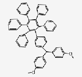 COc1ccc(C(c2ccc(OC)cc2)c2ccc(-c3c(-c4ccccc4)c(-c4ccccc4)c(-c4ccccc4)c(-c4ccccc4)c3-c3ccccc3)cc2)cc1